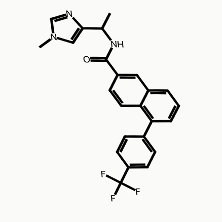 CC(NC(=O)c1ccc2c(-c3ccc(C(F)(F)F)cc3)cccc2c1)c1cn(C)cn1